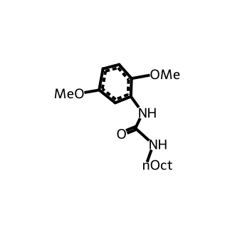 CCCCCCCCNC(=O)Nc1cc(OC)ccc1OC